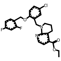 CCOC(=O)c1ccnc2c1CCCN2Cc1cc(Cl)ccc1OCc1ccc(F)cc1F